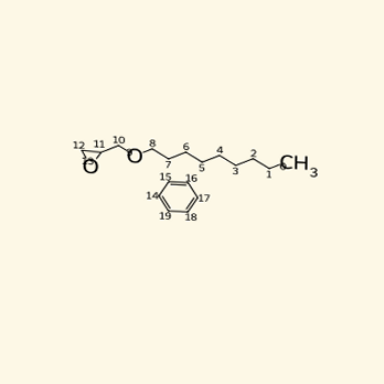 CCCCCCCCCOCC1CO1.c1ccccc1